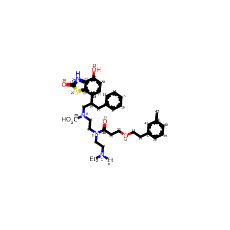 CCN(CC)CCN(CCN(CC(Cc1ccccc1)c1ccc(O)c2[nH]c(=O)sc12)C(=O)O)C(=O)CCOCCc1cccc(C)c1